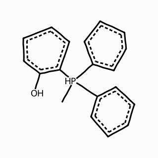 C[PH](c1ccccc1)(c1ccccc1)c1ccccc1O